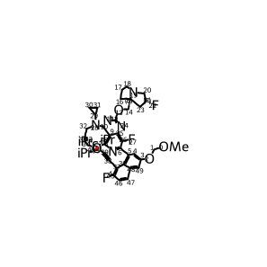 COCOc1cc(-c2nc3c4c(nc(OC[C@@]56CCCN5C[C@H](F)C6)nc4c2F)N(C2CC2)CCCO3)c2c(C#C[Si](C(C)C)(C(C)C)C(C)C)c(F)ccc2c1